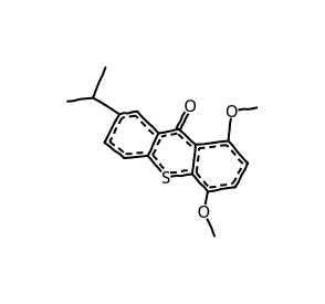 COc1ccc(OC)c2c(=O)c3cc(C(C)C)ccc3sc12